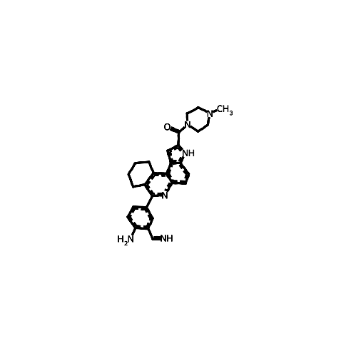 CN1CCN(C(=O)c2cc3c(ccc4nc(-c5ccc(N)c(C=N)c5)c5c(c43)CCCC5)[nH]2)CC1